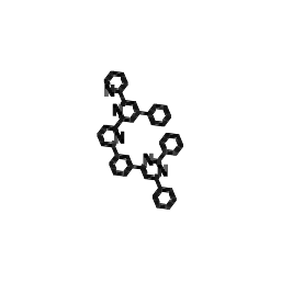 c1ccc(-c2cc(-c3ccccn3)nc(-c3cccc(-c4cccc(-c5cc(-c6ccccc6)nc(-c6ccccc6)n5)c4)n3)c2)cc1